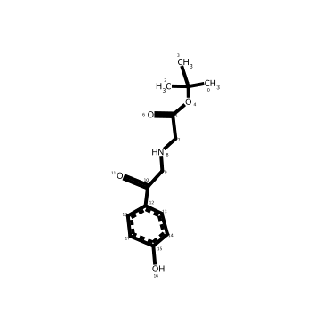 CC(C)(C)OC(=O)CNCC(=O)c1ccc(O)cc1